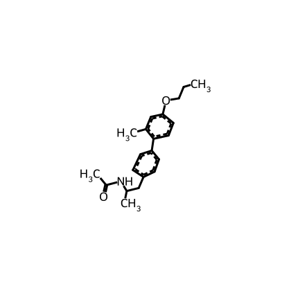 CCCOc1ccc(-c2ccc(CC(C)NC(C)=O)cc2)c(C)c1